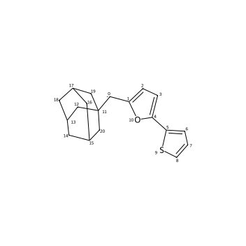 [CH](c1ccc(-c2cccs2)o1)C12CC3CC(CC(C3)C1)C2